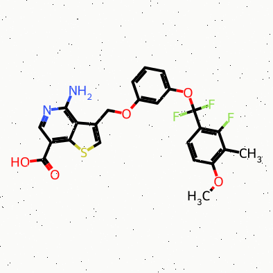 COc1ccc(C(F)(F)Oc2cccc(OCc3csc4c(C(=O)O)cnc(N)c34)c2)c(F)c1C